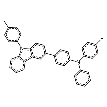 Cc1ccc(-n2c3ccccc3c3cc(-c4ccc(N(c5ccccc5)c5ccc(F)cc5)cc4)ccc32)cc1